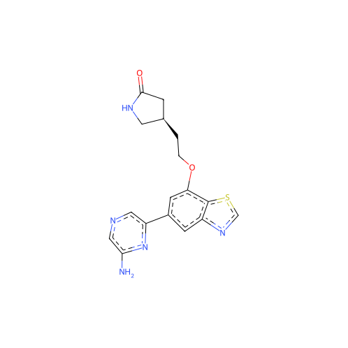 Nc1cncc(-c2cc(OCC[C@H]3CNC(=O)C3)c3scnc3c2)n1